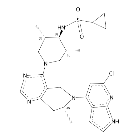 C[C@@H]1CN(c2ncnc3c2CN(c2cc(Cl)nc4[nH]ccc24)[C@H](C)C3)C[C@H](C)[C@H]1NS(=O)(=O)C1CC1